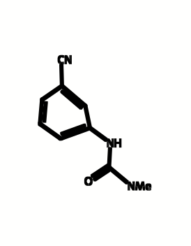 CNC(=O)Nc1cccc(C#N)c1